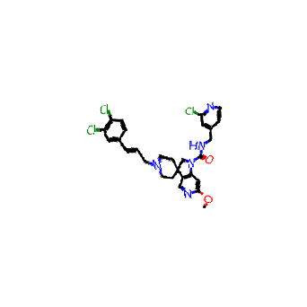 COc1cc2c(cn1)C1(CCN(C/C=C/c3ccc(Cl)c(Cl)c3)CC1)CN2C(=O)NCc1ccnc(Cl)c1